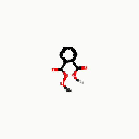 CC(C)(C)OOC(=O)c1ccccc1C(=O)OC(C)(C)C